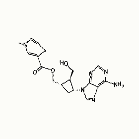 CN1C=CCC(C(=O)OC[C@H]2C[C@@H](n3cnc4c(N)ncnc43)[C@@H]2CO)=C1